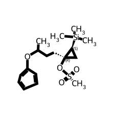 CC(CC[C@@]1(OS(C)(=O)=O)C[C@@H]1[Si](C)(C)C)Oc1ccccc1